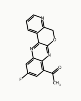 CC(=O)c1cc(F)cc2nc3c(nc12)OCc1ncccc1-3